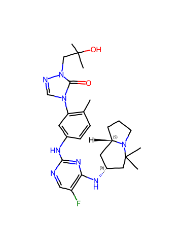 Cc1ccc(Nc2ncc(F)c(N[C@@H]3C[C@@H]4CCCN4C(C)(C)C3)n2)cc1-n1cnn(CC(C)(C)O)c1=O